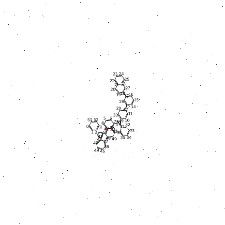 c1ccc(-c2ccc(N(c3ccc(-c4cccc(-c5ccc6ccccc6c5)c4)cc3)c3ccccc3-c3ccc4oc5ccccc5c4c3)cc2)cc1